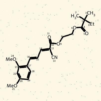 CCC(C)(C)C(=O)OCCOC(=O)/C(C#N)=C/C=C/c1ccc(OC)cc1OC